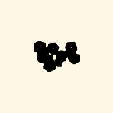 N#Cc1cc(-c2cccc(-n3c4cccnc4c4ccc5c6ccccc6sc5c43)c2)cc(-n2c3ccccc3c3ccccc32)c1